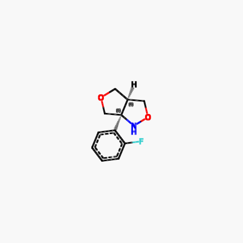 Fc1ccccc1[C@]12COC[C@H]1CON2